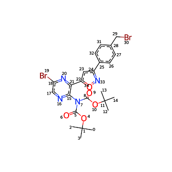 CC(C)(C)OC(=O)N(C(=O)OC(C)(C)C)c1ncc(Br)nc1-c1cc(-c2ccc(CBr)cc2)no1